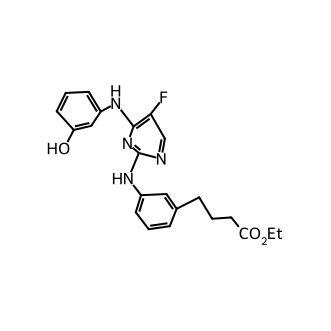 CCOC(=O)CCCc1cccc(Nc2ncc(F)c(Nc3cccc(O)c3)n2)c1